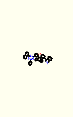 c1ccc(-c2nc(-c3ccc4c(c3)C3(c5cc(-c6cncc7ccccc67)ccc5O4)c4ccccc4-c4ccccc43)nc(-c3cccc4ccccc34)n2)cc1